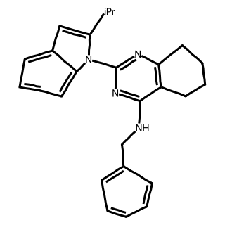 CC(C)c1cc2ccccc2n1-c1nc2c(c(NCc3ccccc3)n1)CCCC2